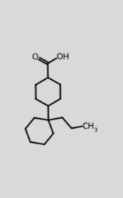 CCCC1(C2CCC(C(=O)O)CC2)CCCCC1